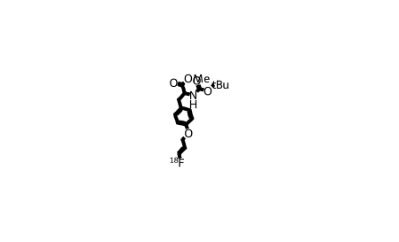 COC(=O)C(Cc1ccc(OC/C=C/[18F])cc1)NC(=O)OC(C)(C)C